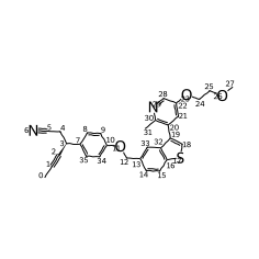 CC#C[C@@H](CC#N)c1ccc(OCc2ccc3scc(-c4cc(OCCOC)cnc4C)c3c2)cc1